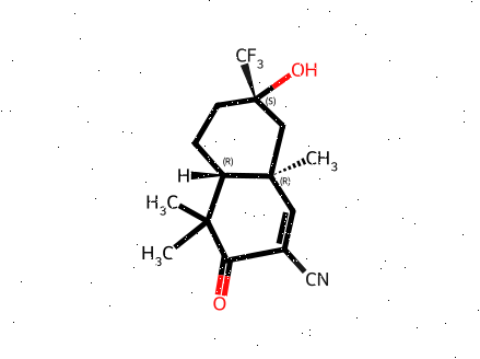 CC1(C)C(=O)C(C#N)=C[C@]2(C)C[C@](O)(C(F)(F)F)CC[C@@H]12